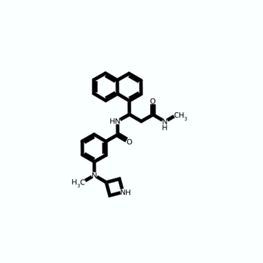 CNC(=O)CC(NC(=O)c1cccc(N(C)C2CNC2)c1)c1cccc2ccccc12